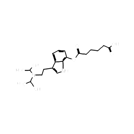 CC(C)N(CCc1c[nH]c2c(OC(=O)CCCCC(=O)O)cccc12)C(C)C